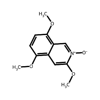 COc1ccc(OC)c2c[n+]([O-])c(OC)cc12